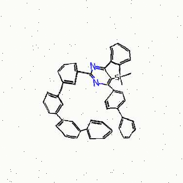 C[Si]1(C)c2ccccc2-c2nc(-c3cccc(-c4cccc(-c5cccc(-c6ccccc6)c5)c4)c3)nc(-c3ccc(-c4ccccc4)cc3)c21